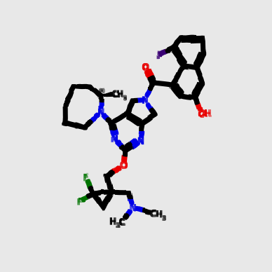 C[C@@H]1CCCCCN1c1nc(OCC2(CN(C)C)CC2(F)F)nc2c1CN(C(=O)c1cc(O)cc3cccc(I)c13)C2